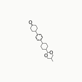 CC1COC(C2CCC(c3ccc(C4CCC(=O)CC4)cc3)CC2)OC1